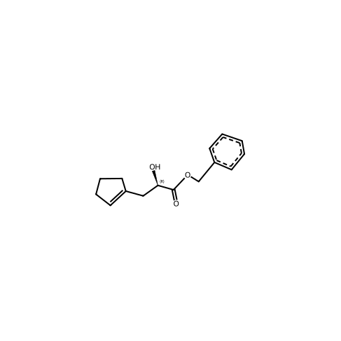 O=C(OCc1ccccc1)[C@H](O)CC1=CCCC1